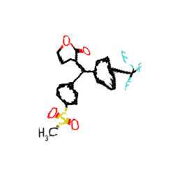 CS(=O)(=O)c1ccc(C(=C2CCOC2=O)c2ccc(C(F)(F)F)cc2)cc1